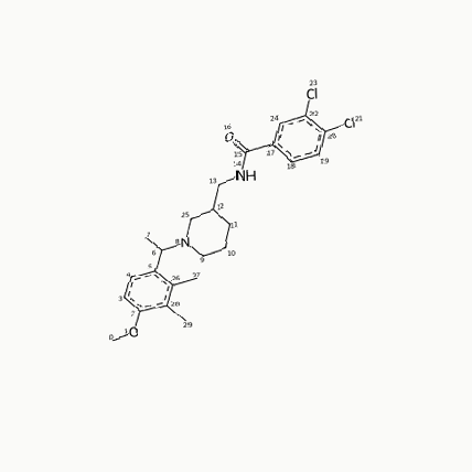 COc1ccc(C(C)N2CCCC(CNC(=O)c3ccc(Cl)c(Cl)c3)C2)c(C)c1C